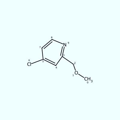 CO[CH]c1cc(Cl)ccn1